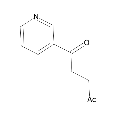 CC(=O)CCC(=O)c1cccnc1